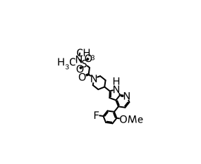 COc1ccc(F)cc1-c1ccnc2[nH]c(C3CCN(C(=O)CS(=O)(=O)N(C)C)CC3)cc12